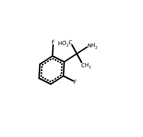 CC(N)(C(=O)O)c1c(F)cccc1F